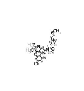 COCCn1cc([C@H]2CN(c3cc4nc(C)n(C)c(=O)c4c(-c4ccc(Cl)cc4F)n3)CCO2)cn1